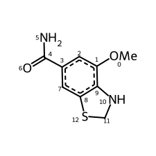 COc1cc(C(N)=O)cc2c1NCS2